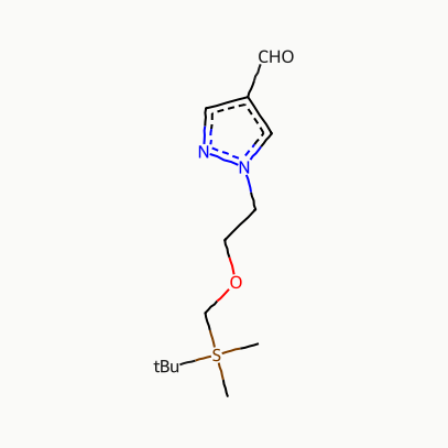 CC(C)(C)S(C)(C)COCCn1cc(C=O)cn1